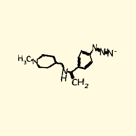 C=C(NCC1CCN(C)CC1)c1ccc(N=[N+]=[N-])cc1